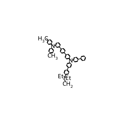 C=CCC(CC)(CC)c1ccc(-c2ccc(N(c3ccc(-c4ccccc4)cc3)c3ccc(-c4ccc(-c5cccc(N(c6ccc(C)cc6)c6ccc(C)cc6)c5)cc4)cc3)cc2)cc1